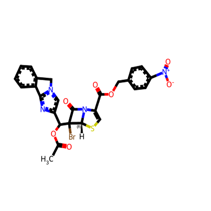 CC(=O)OC(c1cn2c(n1)-c1ccccc1C2)C1(Br)C(=O)N2C(C(=O)OCc3ccc([N+](=O)[O-])cc3)=CS[C@@H]21